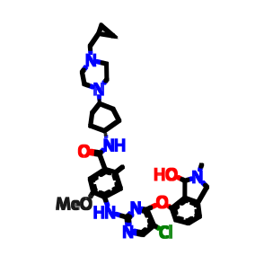 COc1cc(C(=O)N[C@H]2CC[C@H](N3CCN(CC4CC4)CC3)CC2)c(C)cc1Nc1ncc(Cl)c(Oc2cccc3c2C(O)N(C)C3)n1